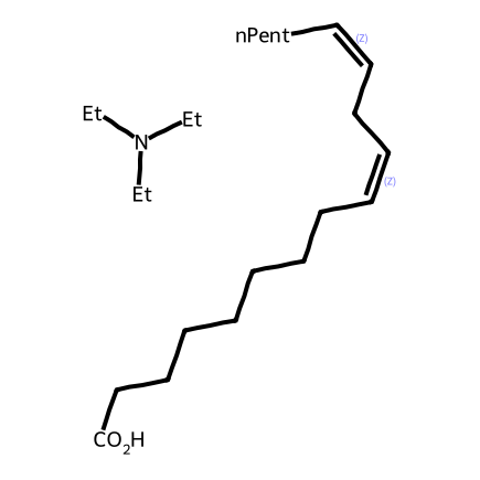 CCCCC/C=C\C/C=C\CCCCCCCC(=O)O.CCN(CC)CC